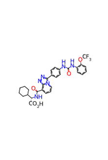 O=C(Nc1ccc(-c2nnc3c(C(=O)N[C@H](C(=O)O)C4CCCCC4)cccn23)cc1)Nc1ccccc1OC(F)(F)F